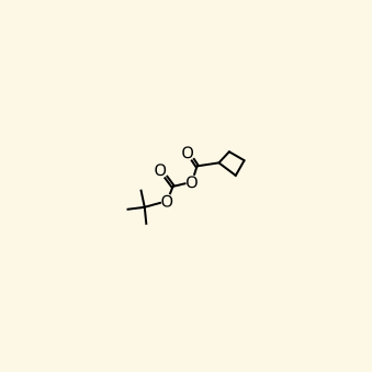 CC(C)(C)OC(=O)OC(=O)C1CCC1